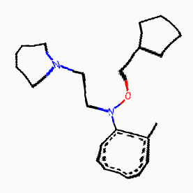 Cc1ccccc1N(CCN1CCCC1)OCC1CCCC1